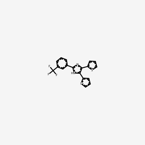 FC(F)(F)c1cccc(-c2nc(-c3cccs3)c(-c3cccs3)[nH]2)c1